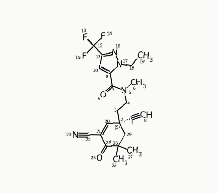 C#C[C@@]1(CCN(C)C(=O)c2cc(C(F)(F)F)nn2CC)C=C(C#N)C(=O)C(C)(C)C1